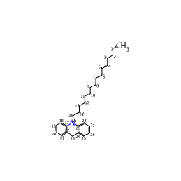 CCCCCCCCCCCCCCCCN1c2ccccc2Cc2ccccc21